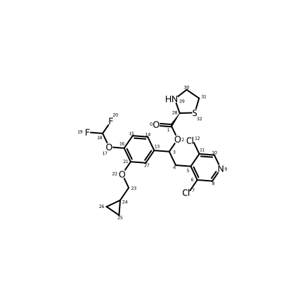 O=C(OC(Cc1c(Cl)cncc1Cl)c1ccc(OC(F)F)c(OCC2CC2)c1)[C@H]1NCCS1